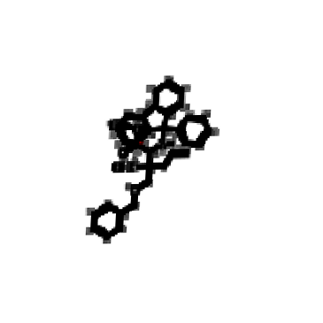 C=CCC(C=O)(COCc1ccccc1)C(NC1(c2ccccc2)c2ccccc2-c2ccccc21)C(=O)OC(C)(C)C